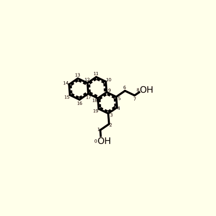 OCCc1cc(CCO)c2ccc3ccccc3c2c1